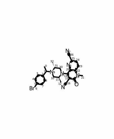 CC(c1ccc(Br)cc1)N1C[C@H](C)N(c2c(C#N)c(=O)n(C)c3ccc(C#N)nc23)C[C@H]1C